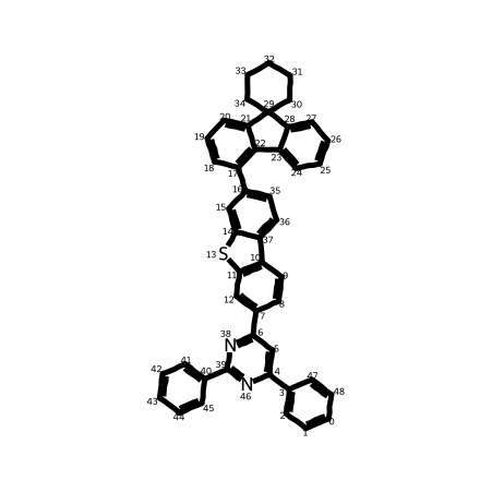 c1ccc(-c2cc(-c3ccc4c(c3)sc3cc(-c5cccc6c5-c5ccccc5C65CCCCC5)ccc34)nc(-c3ccccc3)n2)cc1